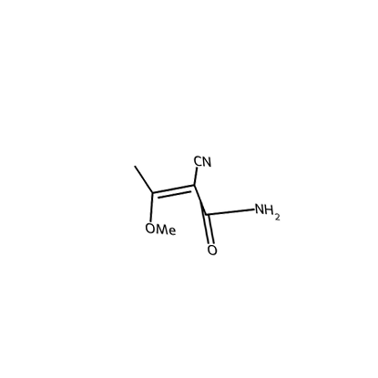 CO/C(C)=C(/C#N)C(N)=O